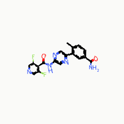 Cc1ccc(C(N)=O)cc1-c1cnc(NC(=O)c2c(F)cncc2F)cn1